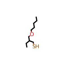 CCCCCOCC(CC)CS